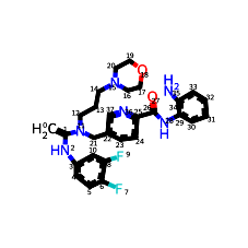 C=C(Nc1ccc(F)c(F)c1)N(CCCN1CCOCC1)Cc1ccc(C(=O)Nc2ccccc2N)nc1